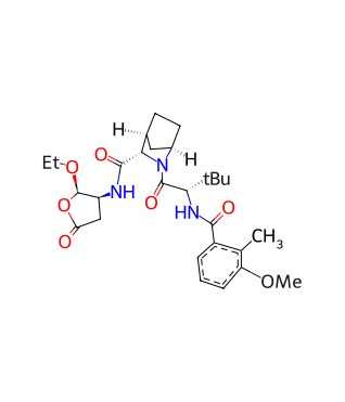 CCO[C@@H]1OC(=O)C[C@@H]1NC(=O)[C@@H]1[C@H]2CC[C@H](C2)N1C(=O)[C@@H](NC(=O)c1cccc(OC)c1C)C(C)(C)C